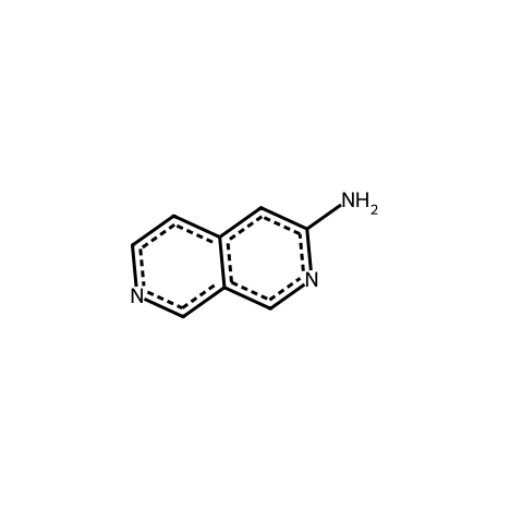 Nc1cc2ccncc2cn1